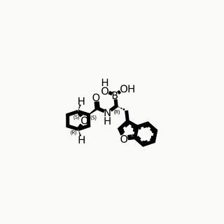 O=C(N[C@@H](Cc1coc2ccccc12)B(O)O)[C@H]1C[C@H]2CC[C@@H]1O2